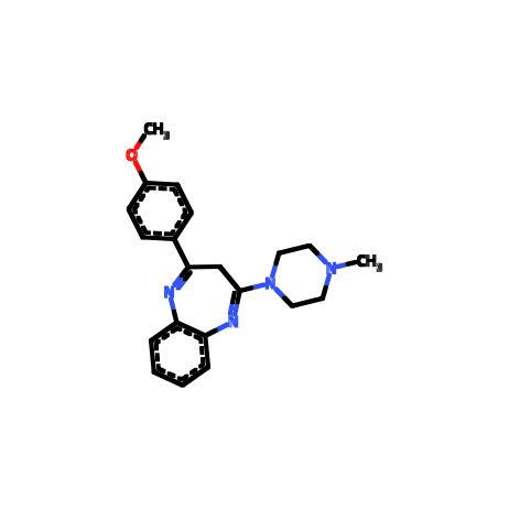 COc1ccc(C2=Nc3ccccc3N=C(N3CCN(C)CC3)C2)cc1